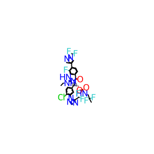 CCNC(=N)N(C(=O)c1ccc(-c2cnn(C(F)F)c2)c(F)c1)[C@H](COC(=O)NCC(C)(F)F)c1ccc(Cl)c(-n2ncnc2C(F)F)c1